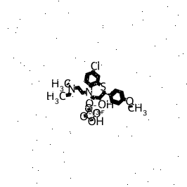 CCN(C)CCN1C(=O)[C@H](O)[C@H](c2ccc(OC)cc2)Sc2cc(Cl)ccc21.[O-][Cl+3]([O-])([O-])O